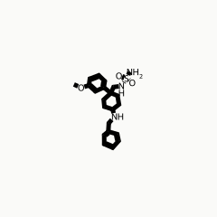 COc1cccc(C2(CNS(N)(=O)=O)CCC(NCc3ccccc3)CC2)c1